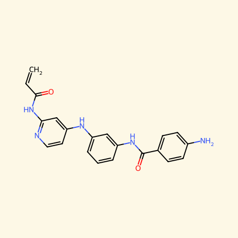 C=CC(=O)Nc1cc(Nc2cccc(NC(=O)c3ccc(N)cc3)c2)ccn1